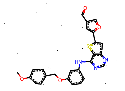 COc1ccc(COc2cccc(Nc3ncnc4cc(-c5cc(C=O)co5)sc34)c2)cc1